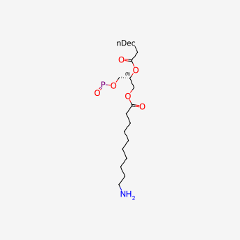 CCCCCCCCCCCC(=O)O[C@@H](COP=O)COC(=O)CCCCCCCCCN